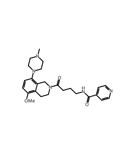 COc1ccc(N2CCN(C)CC2)c2c1CCN(C(=O)CCCNC(=O)c1ccncc1)C2